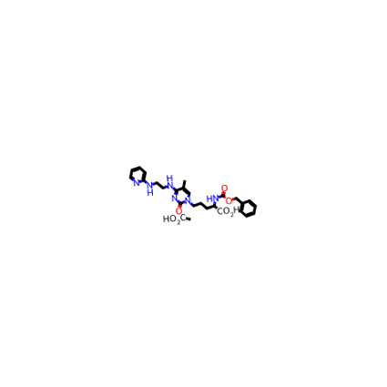 CC(=O)O.Cc1cn(CCCC(NC(=O)OCc2ccccc2)C(=O)O)c(=O)nc1NCCNc1ccccn1